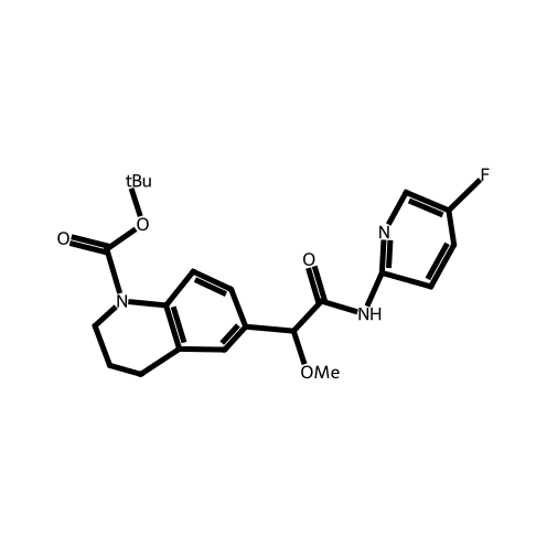 COC(C(=O)Nc1ccc(F)cn1)c1ccc2c(c1)CCCN2C(=O)OC(C)(C)C